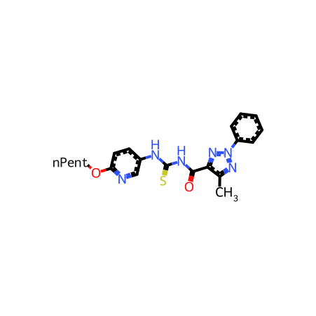 CCCCCOc1ccc(NC(=S)NC(=O)c2nn(-c3ccccc3)nc2C)cn1